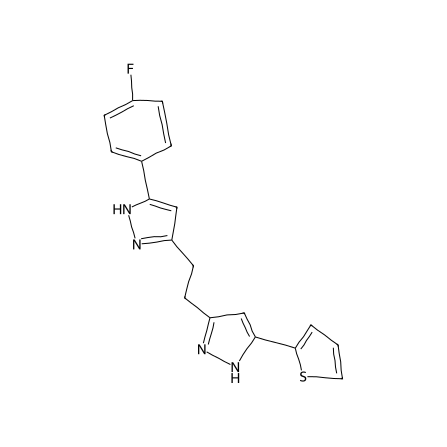 Fc1ccc(-c2cc(CCc3cc(-c4cccs4)[nH]n3)n[nH]2)cc1